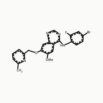 COc1cc2c(Nc3ccc(Br)cc3F)ncnc2cc1OCc1cccc(C)n1